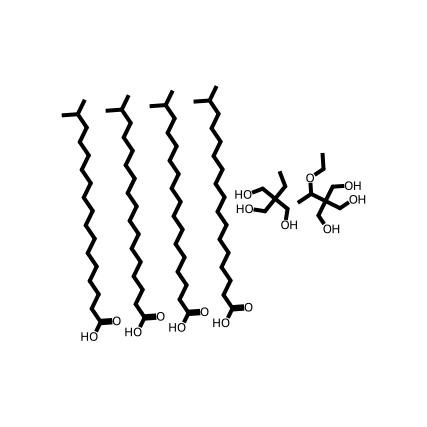 CC(C)CCCCCCCCCCCCCCC(=O)O.CC(C)CCCCCCCCCCCCCCC(=O)O.CC(C)CCCCCCCCCCCCCCC(=O)O.CC(C)CCCCCCCCCCCCCCC(=O)O.CCC(CO)(CO)CO.CCOC(C)C(CO)(CO)CO